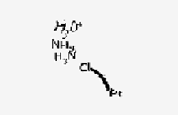 N.N.[Cl][Pt].[OH3+]